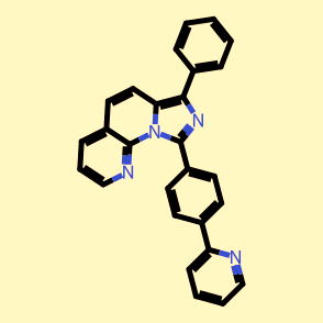 c1ccc(-c2nc(-c3ccc(-c4ccccn4)cc3)n3c2ccc2cccnc23)cc1